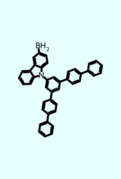 Bc1ccc2c(c1)c1ccccc1n2-c1cc(-c2ccc(-c3ccccc3)cc2)cc(-c2ccc(-c3ccccc3)cc2)c1